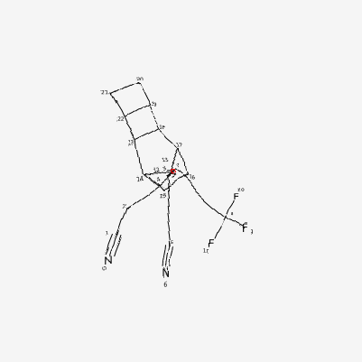 N#CCC1=C(C#N)C(C(F)(F)F)=CC12C1CCC2C2C3CCC3C21